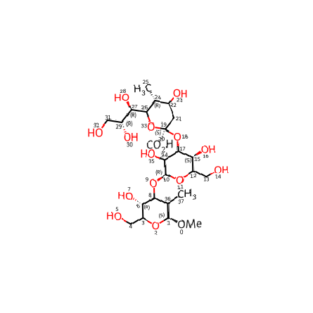 CO[C@H]1OC(CO)[C@H](O)C(O[C@@H]2OC(CO)[C@H](O)C(O[C@]3(C(=O)O)CC(O)[C@@H](C)C([C@H](O)[C@H](O)CO)O3)C2O)C1C